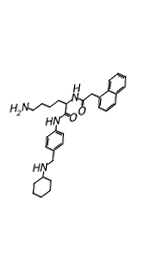 NCCCCC(NC(=O)Cc1cccc2ccccc12)C(=O)Nc1ccc(CNC2CCCCC2)cc1